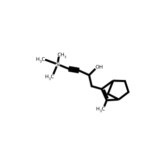 CC1=C(CC(O)C#C[Si](C)(C)C)C2CCC1C2